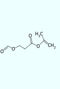 C=C(C)OC(=O)CCOC=O